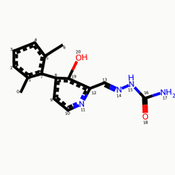 Cc1cccc(C)c1-c1ccnc(C=NNC(N)=O)c1O